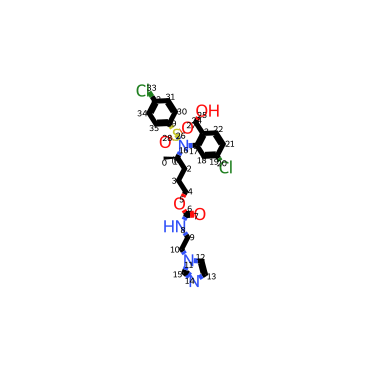 C[C@H](CCCOC(=O)NCCn1ccnc1)N(c1cc(Cl)ccc1CO)S(=O)(=O)c1ccc(Cl)cc1